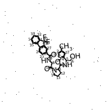 Cc1csc([C@@H](CO)NC(=O)C2CCCN2C(=O)CNC(=O)c2ccc3c(c2)C(F)(F)c2ccccc2-3)c1